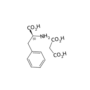 N[C@@H](Cc1ccccc1)C(=O)O.O=C(O)CC(=O)O